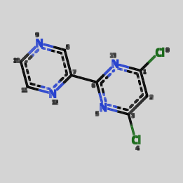 Clc1cc(Cl)nc(-c2cnccn2)n1